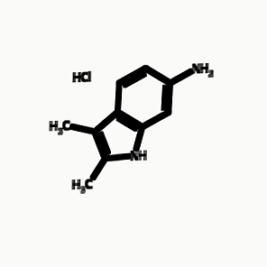 Cc1[nH]c2cc(N)ccc2c1C.Cl